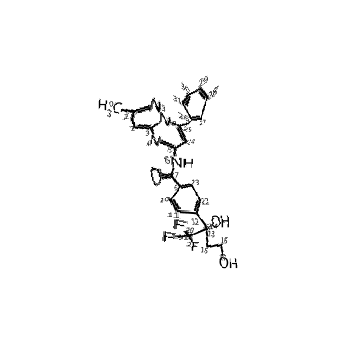 Cc1cc2nc(NC(=O)c3ccc([C@@](O)(CCO)C(F)(F)F)cc3)cc(-c3ccccc3)n2n1